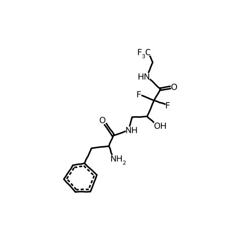 NC(Cc1ccccc1)C(=O)NCC(O)C(F)(F)C(=O)NCC(F)(F)F